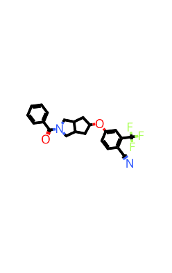 N#Cc1ccc(OC2CC3CN(C(=O)c4ccccc4)CC3C2)cc1C(F)(F)F